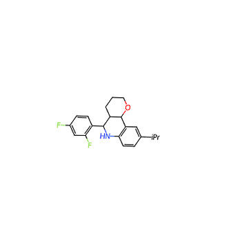 CC(C)c1ccc2c(c1)C1OCCCC1C(c1ccc(F)cc1F)N2